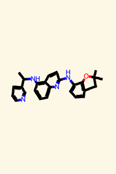 CC(Nc1cccc2nc(Nc3cccc4c3OC(C)(C)C4)ccc12)c1cccnc1